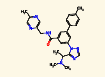 Cc1ccc(-c2cc(C(=O)NCc3cnc(C)cn3)cc(-n3ncnc3C(C)N(C)C)c2)cc1